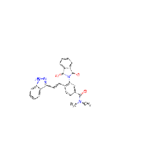 CN(C)C(=O)c1ccc(/C=C/c2n[nH]c3ccccc23)c(N2C(=O)c3ccccc3C2=O)c1